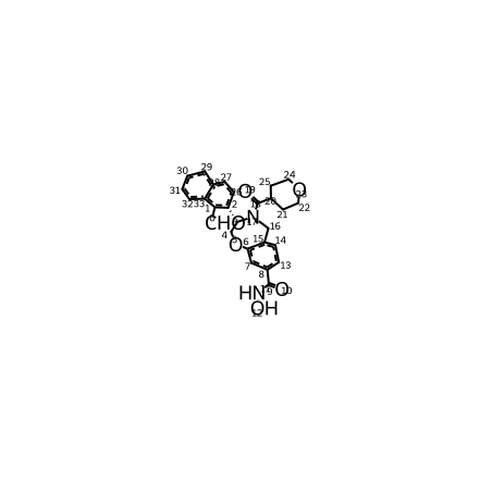 O=Cc1c([C@H]2COc3cc(C(=O)NO)ccc3CN2C(=O)C2CCOCC2)ccc2ccccc12